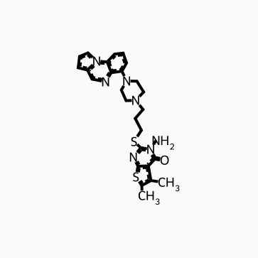 Cc1sc2nc(SCCCN3CCN(c4cccc5c4ncc4cccn45)CC3)n(N)c(=O)c2c1C